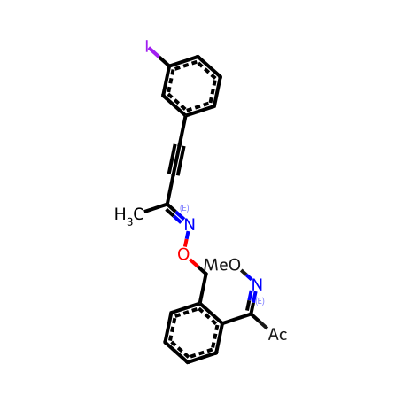 CO/N=C(/C(C)=O)c1ccccc1CO/N=C(\C)C#Cc1cccc(I)c1